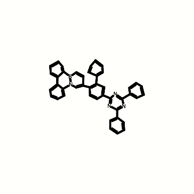 C1=CC(c2ccc(-c3nc(-c4ccccc4)nc(-c4ccccc4)n3)cc2-c2ccccc2)=CN2B1c1ccccc1-c1ccccc12